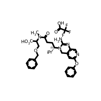 CC(C)[C@H](CCC(=O)N(C)C(COCc1ccccc1)C(=O)O)N1Cc2cc(Oc3ccccc3)ncc2N=C1N.O=C(O)C(F)(F)F